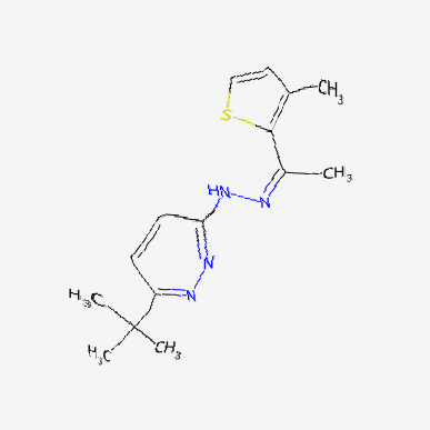 CC(=NNc1ccc(C(C)(C)C)nn1)c1sccc1C